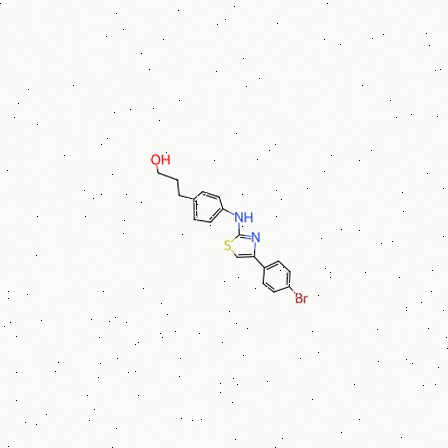 OCCCc1ccc(Nc2nc(-c3ccc(Br)cc3)cs2)cc1